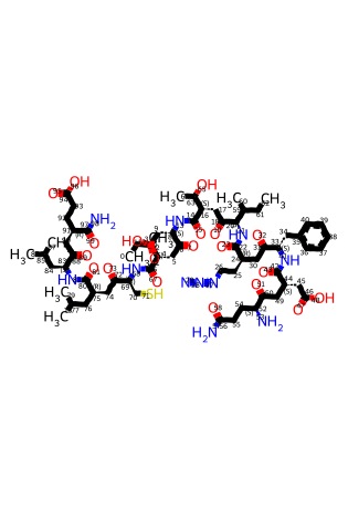 CCC(C)[C@H](CC(=O)[C@H](CC(=O)O)NC(=O)[C@@H](CC(=O)[C@@H](NC(=O)[C@H](CCN=[N+]=[N-])CC(=O)[C@H](Cc1ccccc1)NC(=O)[C@H](CC(=O)O)CC(=O)[C@@H](N)CCC(N)=O)C(C)CC)C(C)O)C(=O)N[C@@H](CS)C(=O)C[C@@H](CC(C)C)C(=O)N[C@@H](CC(C)C)C(=O)C[C@@H](CCC(=O)O)C(N)=O